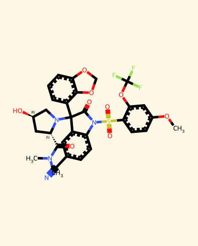 COc1ccc(S(=O)(=O)N2C(=O)C(c3cccc4c3OCO4)(N3C[C@H](O)C[C@H]3C(=O)N(C)C)c3cc(C#N)ccc32)c(OC(F)(F)F)c1